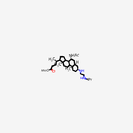 COC(=O)CC[C@@H](C)C1CCC2C3C(CC[C@@]21C)[C@@]1(C)CC[C@H](NCCNC(C)C)C[C@@H]1C[C@H]3NC(C)=O